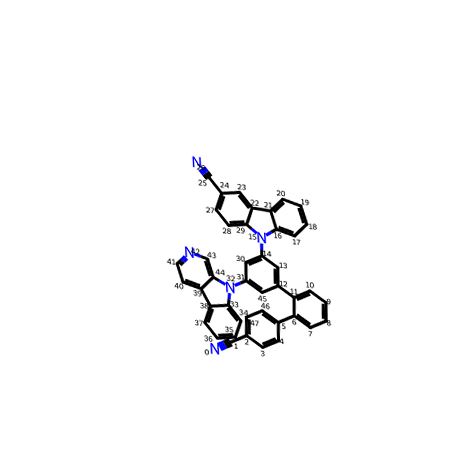 N#Cc1ccc(-c2ccccc2-c2cc(-n3c4ccccc4c4cc(C#N)ccc43)cc(-n3c4ccccc4c4ccncc43)c2)cc1